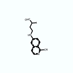 N#Cc1nccc2cc(NCCC(I)C=O)ccc12